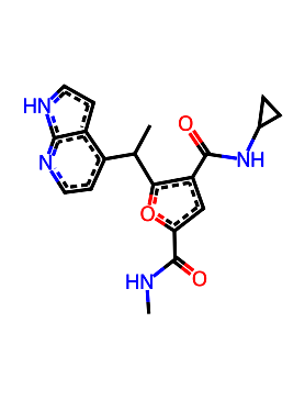 CNC(=O)c1cc(C(=O)NC2CC2)c(C(C)c2ccnc3[nH]ccc23)o1